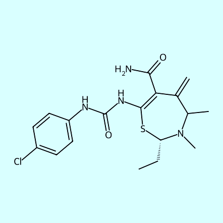 C=C1C(C(N)=O)=C(NC(=O)Nc2ccc(Cl)cc2)S[C@@H](CC)N(C)C1C